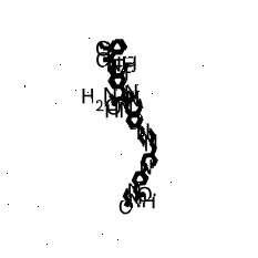 COc1ccccc1C(=O)NCc1ccc(-c2nn3c(c2C(N)=O)Nc2ccc(N4CCN(CC5CCN(c6ccc(N7CCC(=O)NC7=O)cc6)CC5)CC4)cc2CC3)cc1C(F)(F)F